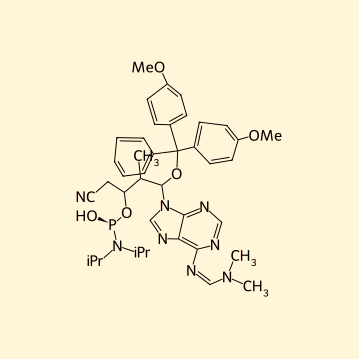 COc1ccc(C(OC(C(C)C(CC#N)O[P@](O)N(C(C)C)C(C)C)n2cnc3c(/N=C\N(C)C)ncnc32)(c2ccccc2)c2ccc(OC)cc2)cc1